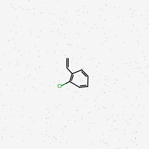 C=Cc1[c]cccc1Cl